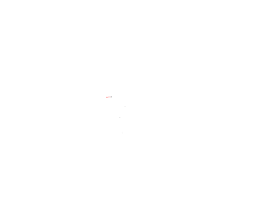 CCC1CC(CC)C2C3CC(CC3C(=O)OC3CCCCO3)C12